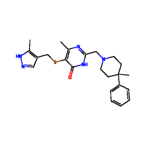 Cc1nc(CN2CCC(C)(c3ccccc3)CC2)[nH]c(=O)c1SCc1cn[nH]c1C